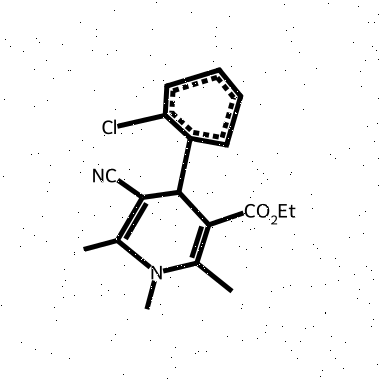 CCOC(=O)C1=C(C)N(C)C(C)=C(C#N)C1c1ccccc1Cl